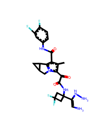 Cc1c(C(=O)Nc2ccc(F)c(F)c2)c2n(c1C(=O)C(=O)NC1(/C(=C/N)NN)CC(F)(F)C1)CC1CC21